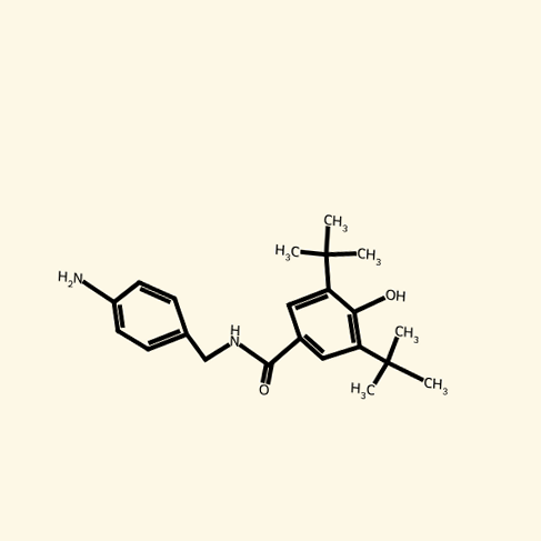 CC(C)(C)c1cc(C(=O)NCc2ccc(N)cc2)cc(C(C)(C)C)c1O